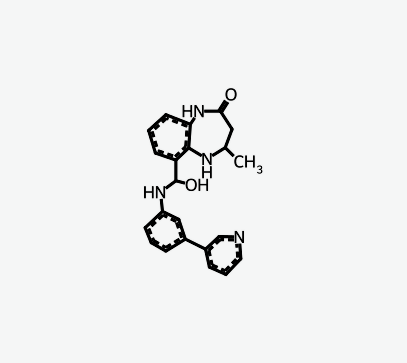 CC1CC(=O)Nc2cccc(C(O)Nc3cccc(-c4cccnc4)c3)c2N1